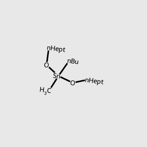 CCCCCCC[O][Sn]([CH3])([CH2]CCC)[O]CCCCCCC